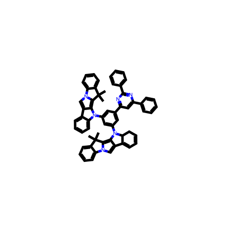 CC1(C)c2ccccc2-n2cc3c(c21)N(c1cc(-c2cc(-c4ccccc4)nc(-c4ccccc4)n2)cc(-n2c4ccccc4c4cn5c(c42)C(C)(C)c2ccccc2-5)c1)C1CC=CC=C31